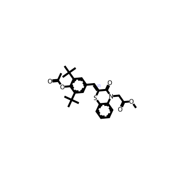 COC(=O)CN1C(=O)/C(=C/c2cc(C(C)(C)C)c(OC(C)=O)c(C(C)(C)C)c2)Sc2ccccc21